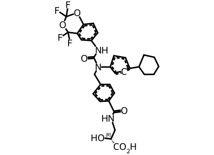 O=C(NC[C@@H](O)C(=O)O)c1ccc(CN(C(=O)Nc2ccc3c(c2)C(F)(F)OC(F)(F)O3)c2ccc(C3CCCCC3)cc2)cc1